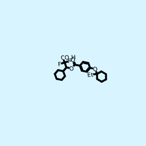 CCC1(Oc2ccc(C(=O)OC(C3CCCCC3)C(F)(F)C(=O)O)cc2)CCCCC1